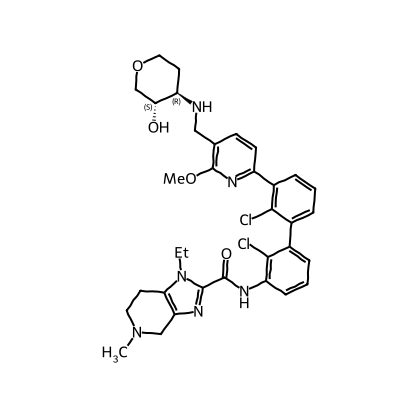 CCn1c(C(=O)Nc2cccc(-c3cccc(-c4ccc(CN[C@@H]5CCOC[C@H]5O)c(OC)n4)c3Cl)c2Cl)nc2c1CCN(C)C2